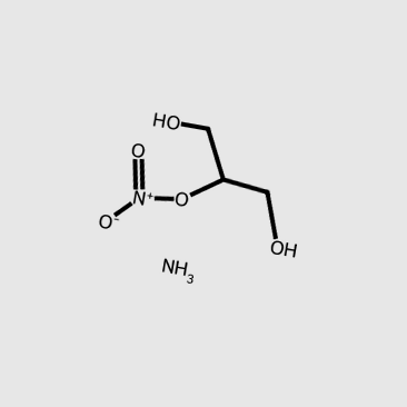 N.O=[N+]([O-])OC(CO)CO